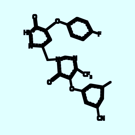 Cc1cc(C#N)cc(Oc2c(C(F)(F)F)ncn(Cc3cc(Oc4ccc(F)cc4)c(=O)[nH]n3)c2=O)c1